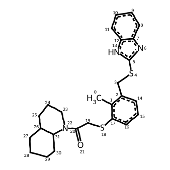 Cc1c(CSc2nc3ccccc3[nH]2)cccc1SCC(=O)N1CCCC2CCCCC21